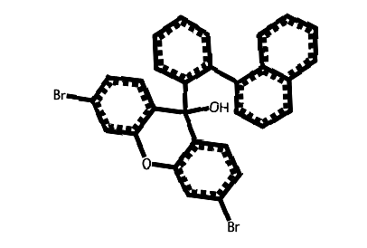 OC1(c2ccccc2-c2cccc3ccccc23)c2ccc(Br)cc2Oc2cc(Br)ccc21